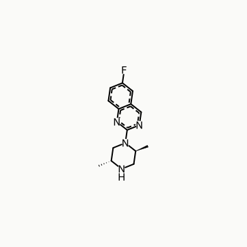 C[C@@H]1CN(c2ncc3cc(F)ccc3n2)[C@@H](C)CN1